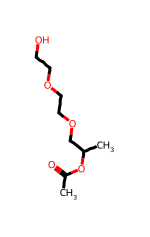 CC(=O)OC(C)COCCOCCO